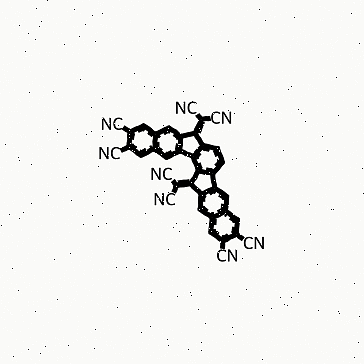 N#CC(C#N)=C1c2cc3cc(C#N)c(C#N)cc3cc2-c2c1ccc1c2C(=C(C#N)C#N)c2cc3cc(C#N)c(C#N)cc3cc2-1